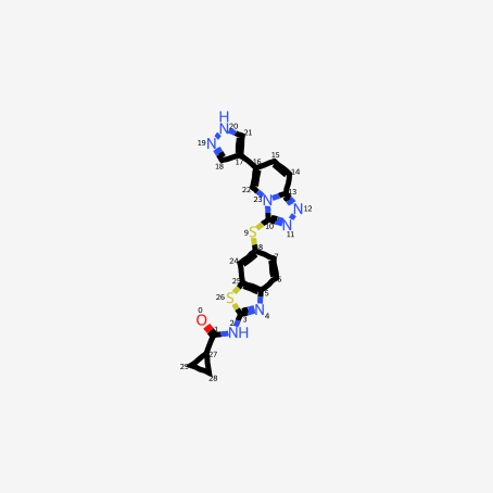 O=C(Nc1nc2ccc(Sc3nnc4ccc(-c5cn[nH]c5)cn34)cc2s1)C1CC1